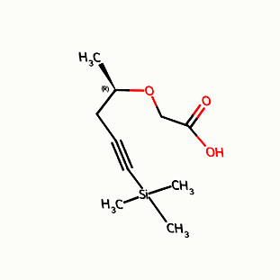 C[C@H](CC#C[Si](C)(C)C)OCC(=O)O